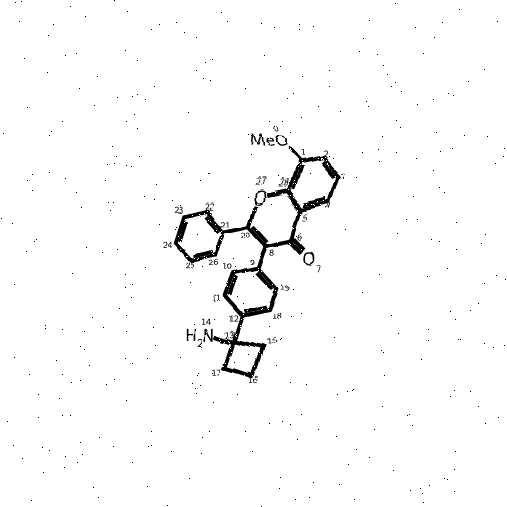 COc1cccc2c(=O)c(-c3ccc(C4(N)CCC4)cc3)c(-c3ccccc3)oc12